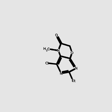 CCc1nc(Cl)c2c(n1)OCC(=O)N2C